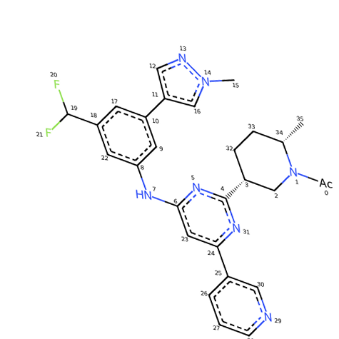 CC(=O)N1C[C@H](c2nc(Nc3cc(-c4cnn(C)c4)cc(C(F)F)c3)cc(-c3cccnc3)n2)CC[C@@H]1C